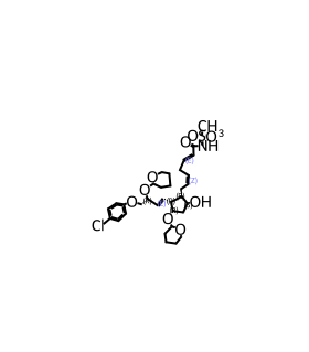 CS(=O)(=O)NC(=O)/C=C/C/C=C\C[C@@H]1[C@@H](/C=C/[C@H](COc2ccc(Cl)cc2)OC2CCCCO2)[C@H](OC2CCCCO2)C[C@@H]1O